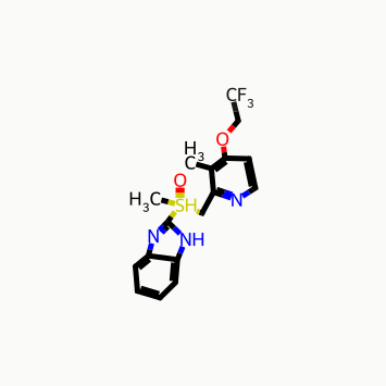 Cc1c(OCC(F)(F)F)ccnc1C[SH](C)(=O)c1nc2ccccc2[nH]1